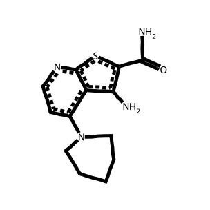 NC(=O)c1sc2nccc(N3CCCCC3)c2c1N